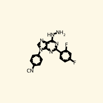 [C-]#[N+]c1ccc(-n2cnc3c(NN)nc(-c4ccc(F)cc4F)nc32)cc1